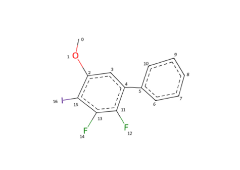 COc1cc(-c2ccccc2)c(F)c(F)c1I